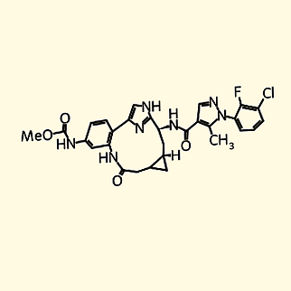 COC(=O)Nc1ccc2c(c1)NC(=O)CC1C[C@H]1C[C@H](NC(=O)c1cnn(-c3cccc(Cl)c3F)c1C)c1nc-2c[nH]1